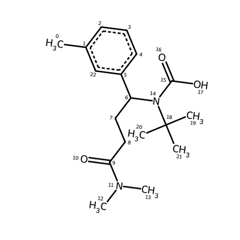 Cc1cccc(C(CCC(=O)N(C)C)N(C(=O)O)C(C)(C)C)c1